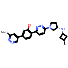 COc1cc(-c2ccc(-c3ccc(N4CC[C@H](N[C@H]5C[C@H](C)C5)C4)nn3)c(O)c2)cnn1